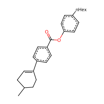 CCCCCCc1ccc(OC(=O)c2ccc(C3=CCC(C)CC3)cc2)cc1